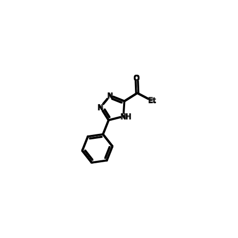 CCC(=O)c1nnc(-c2ccccc2)[nH]1